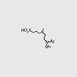 CCCN(CCN(C)CCCS(=O)(=O)O)C(C)=O